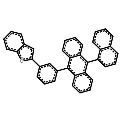 c1cc(-c2cc3ccccc3o2)cc(-c2c3ccccc3c(-c3cccc4ccccc34)c3ccccc23)c1